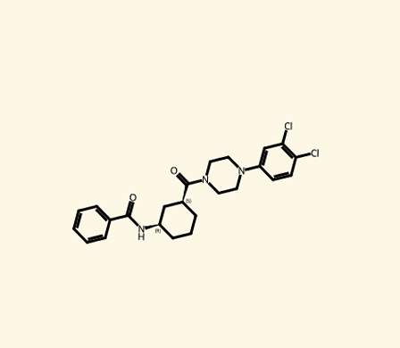 O=C(N[C@@H]1CCC[C@H](C(=O)N2CCN(c3ccc(Cl)c(Cl)c3)CC2)C1)c1ccccc1